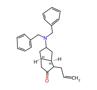 C=CCC1C(=O)C[C@H]2CC(N(Cc3ccccc3)Cc3ccccc3)C[C@@H]12